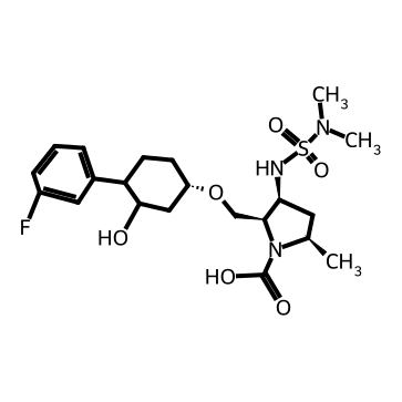 C[C@@H]1C[C@H](NS(=O)(=O)N(C)C)[C@H](CO[C@H]2CCC(c3cccc(F)c3)C(O)C2)N1C(=O)O